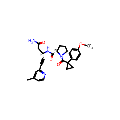 Cc1ccnc(C#C[C@H](CC(N)=O)NC(=O)[C@@H]2CCCN2C(=O)C2(c3ccc(OC(F)(F)F)cc3)CC2)c1